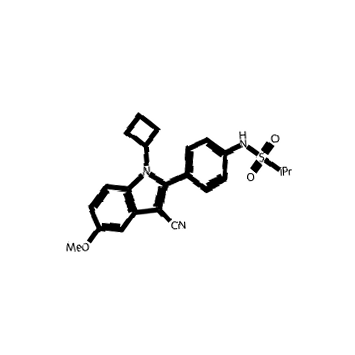 COc1ccc2c(c1)c(C#N)c(-c1ccc(NS(=O)(=O)C(C)C)cc1)n2C1CCC1